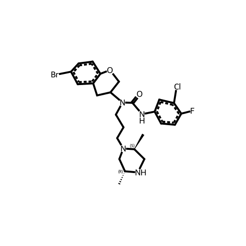 C[C@@H]1CN(CCCN(C(=O)Nc2ccc(F)c(Cl)c2)C2COc3ccc(Br)cc3C2)[C@@H](C)CN1